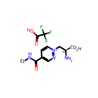 CCNC(=O)c1cc[n+](C[C@H](N)C(=O)O)nc1.O=C(O)C(F)(F)F